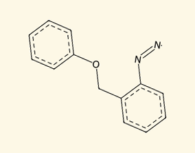 [N]=Nc1ccccc1COc1ccccc1